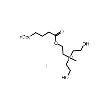 CCCCCCCCCCCCCC(=O)OCC[N+](C)(CCO)CCO.[I-]